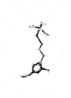 COc1cc(Br)n(COCC[Si](C)(C)C)n1